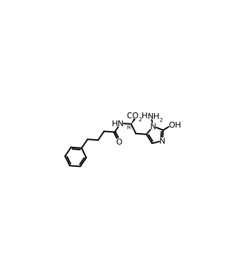 Nn1c(C[C@@H](NC(=O)CCCc2ccccc2)C(=O)O)cnc1O